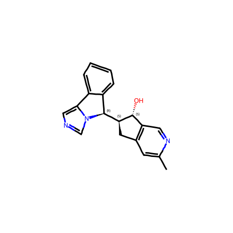 Cc1cc2c(cn1)[C@@H](O)[C@H]([C@@H]1c3ccccc3-c3cncn31)C2